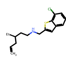 C=CCC(CC)CCNCc1cc2cccc(Cl)c2s1